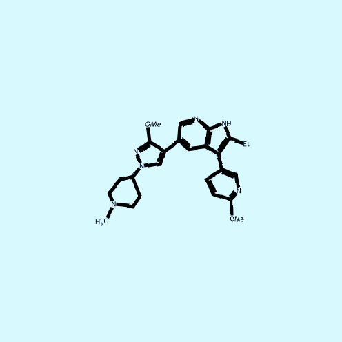 CCc1[nH]c2ncc(-c3cn(C4CCN(C)CC4)nc3OC)cc2c1-c1ccc(OC)nc1